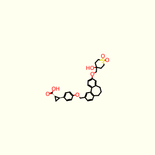 O=C(O)[C@H]1C[C@@H]1c1ccc(OCc2ccc3c(c2)-c2ccc(OCC4(O)CCS(=O)(=O)CC4)cc2CCC3)cc1